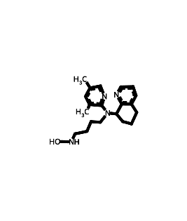 Cc1cnc(N(CCCCNO)C2CCCc3cccnc32)c(C)c1